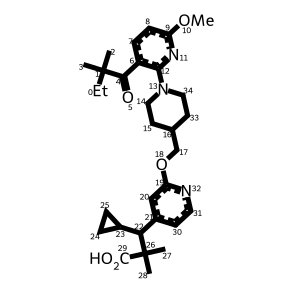 CCC(C)(C)C(=O)c1ccc(OC)nc1N1CCC(COc2cc(C(C3CC3)C(C)(C)C(=O)O)ccn2)CC1